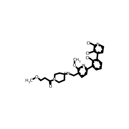 COCCC(=O)N1CCC(NCc2ccc(-c3cccc(-c4ccnc(Cl)c4Cl)c3Cl)nc2OC)CC1